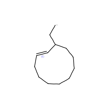 [CH2]CC1/C=C/CCCCCCCC1